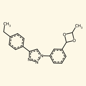 CCc1ccc(-c2cn(-c3cccc(C4OC(C)O4)c3)nn2)cc1